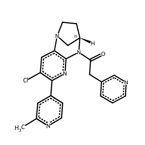 Cc1cc(-c2nc3c(cc2Cl)N2CC[C@@H](C2)N3C(=O)Cc2cccnc2)ccn1